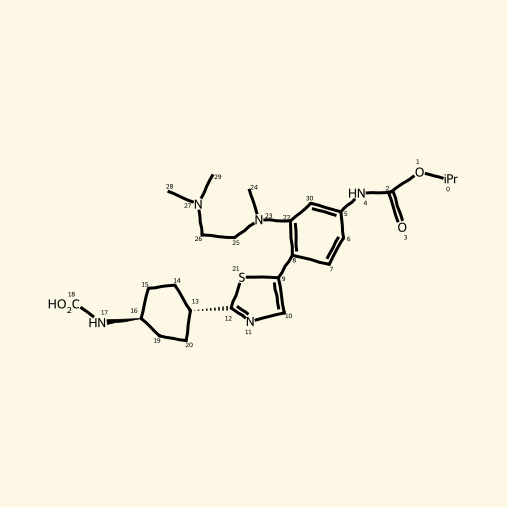 CC(C)OC(=O)Nc1ccc(-c2cnc([C@H]3CC[C@H](NC(=O)O)CC3)s2)c(N(C)CCN(C)C)c1